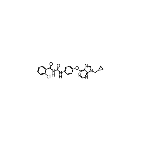 O=C(NC(=O)c1ccccc1Cl)Nc1ccc(Oc2ncnc3c2ncn3CC2CC2)cc1